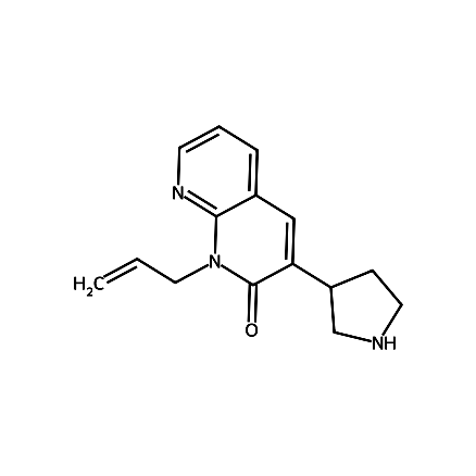 C=CCn1c(=O)c(C2CCNC2)cc2cccnc21